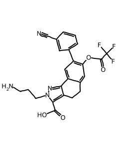 N#Cc1cccc(-c2cc3c(cc2OC(=O)C(F)(F)F)CCc2c-3nn(CCCN)c2C(=O)O)c1